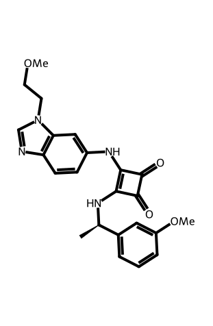 COCCn1cnc2ccc(Nc3c(N[C@H](C)c4cccc(OC)c4)c(=O)c3=O)cc21